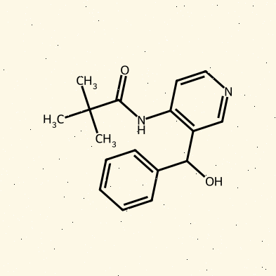 CC(C)(C)C(=O)Nc1ccncc1C(O)c1ccccc1